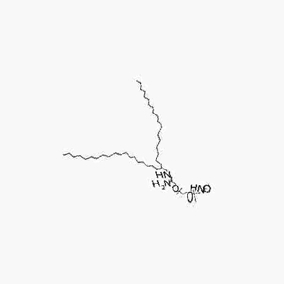 CCCCCCCCCCCCCCCCCCCC(CCCCCCCCCCCCCCCCCC)CN/C=C(\N)COC(C)(C)CCOC(C)(C)CNOC